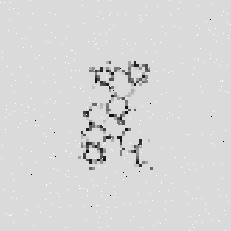 CCc1cc(N(CC(=O)OC)Cc2ccc(-n3cccc3-c3nnn[nH]3)cc2)n2nccc2n1